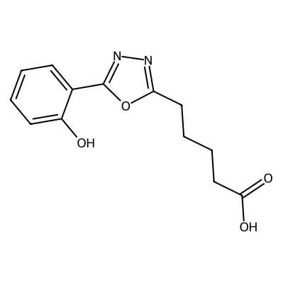 O=C(O)CCCCc1nnc(-c2ccccc2O)o1